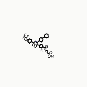 O=C(O)CCNC(=O)c1ccc(C(=O)/C(=C\C(=O)c2ccc(OC(F)(F)F)cc2)c2ccc(C3=CCCCC3)cc2)cc1